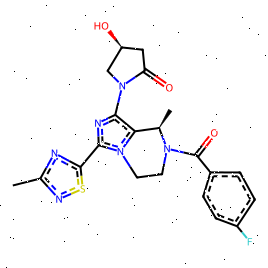 Cc1nsc(-c2nc(N3C[C@@H](O)CC3=O)c3n2CCN(C(=O)c2ccc(F)cc2)[C@@H]3C)n1